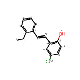 CCc1ccccc1/C=C/c1cc(Cl)ccc1O